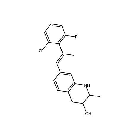 CC(=Cc1ccc2c(c1)NC(C)C(O)C2)c1c(F)cccc1Cl